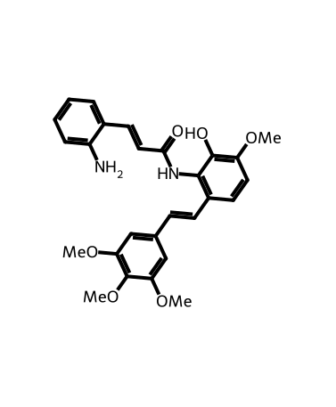 COc1ccc(/C=C/c2cc(OC)c(OC)c(OC)c2)c(NC(=O)/C=C/c2ccccc2N)c1O